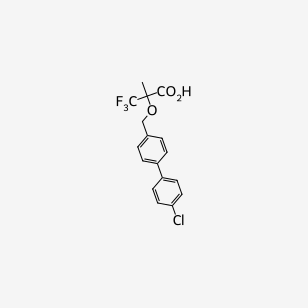 CC(OCc1ccc(-c2ccc(Cl)cc2)cc1)(C(=O)O)C(F)(F)F